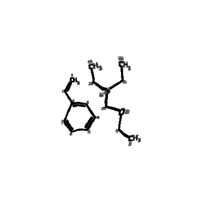 C=Cc1ccccc1.CCOCN(CC)CC